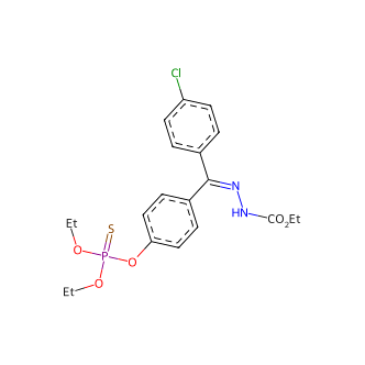 CCOC(=O)NN=C(c1ccc(Cl)cc1)c1ccc(OP(=S)(OCC)OCC)cc1